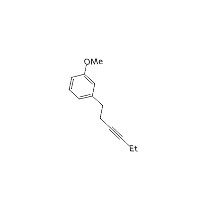 CCC#CCCc1cccc(OC)c1